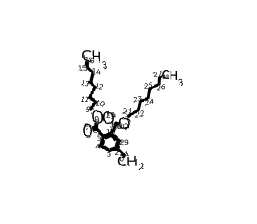 C=Cc1ccc(C(=O)OCCCCCCCC)c(C(=O)OCCCCCCCC)c1